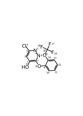 Oc1cc(Cl)nnc1Oc1ccccc1OC(F)(F)F